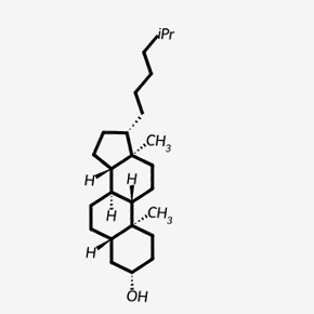 CC(C)CCCC[C@H]1CC[C@H]2[C@@H]3CC[C@H]4C[C@@H](O)CC[C@]4(C)[C@H]3CC[C@]12C